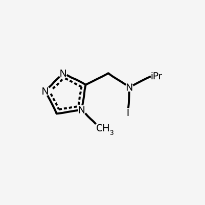 CC(C)N(I)Cc1nncn1C